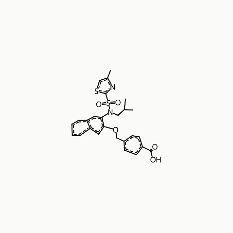 Cc1csc(S(=O)(=O)N(CC(C)C)c2cc3ccccc3cc2OCc2ccc(C(=O)O)cc2)n1